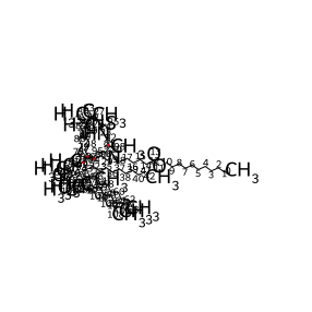 CCCCCCCCCCCOC(=O)CCCCCN(CCCNC(=S)N(C)C)CCCC(C(C)CCCCCCCC)C(C(C)CCCCCCCC)(C(C)CCCCCCCC)C(C(C)CCCCCCCC)(C(C)CCCCCCCC)C(C(=O)O)(C(C)CCCCCCCC)C(C)CCCCCCCC